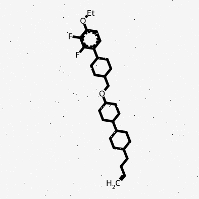 C=CCCC1CCC(C2CCC(OCC3CCC(c4ccc(OCC)c(F)c4F)CC3)CC2)CC1